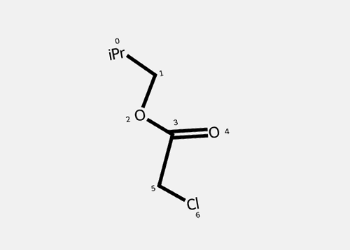 CC(C)COC(=O)CCl